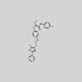 CCN(Cc1ccc(OCCc2nc(-c3ccccc3)oc2C)cc1)C(=O)Oc1ccc(C)cc1